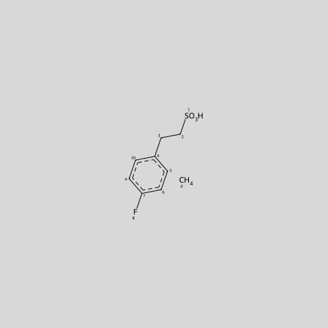 C.O=S(=O)(O)CCc1ccc(F)cc1